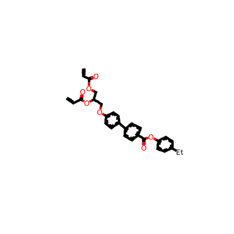 C=CC(=O)OCC(COc1ccc(-c2ccc(C(=O)Oc3ccc(CC)cc3)cc2)cc1)OC(=O)C=C